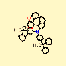 CC1(C)c2ccccc2-c2cc(N(c3ccc(C(C)(c4ccccc4)c4ccccc4)cc3)c3ccc4ccccc4c3-c3cccc4oc5ccccc5c34)ccc21